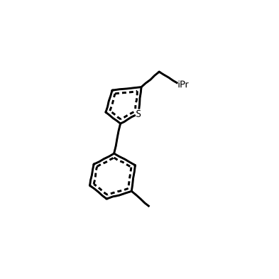 Cc1cccc(-c2ccc(CC(C)C)s2)c1